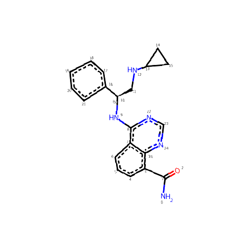 NC(=O)c1cccc2c(N[C@H](CNC3CC3)c3ccccc3)ncnc12